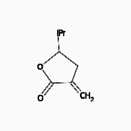 C=C1CC(C(C)C)OC1=O